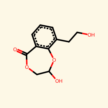 O=C1OCC(O)Oc2c(CCO)cccc21